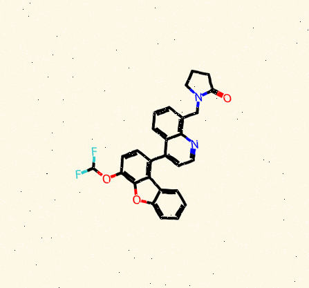 O=C1CCCN1Cc1cccc2c(-c3ccc(OC(F)F)c4oc5ccccc5c34)ccnc12